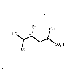 CCC(O)[C@H](CC)CN(C(=O)O)C(C)(C)C